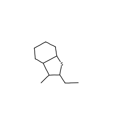 CCC1SC2CCCCC2C1C